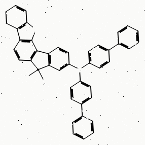 CC1(C)c2cc(N(c3ccc(-c4ccccc4)cc3)c3ccc(-c4ccccc4)cc3)ccc2-c2c1ccc1c3c(oc21)C=CCC3